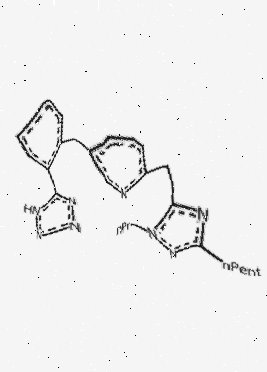 CCCCCc1nc(Cc2ccc(-c3ccccc3-c3nnn[nH]3)cn2)n(CCC)n1